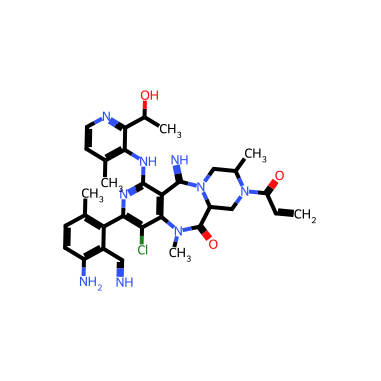 C=CC(=O)N1CC2C(=O)N(C)c3c(Cl)c(-c4c(C)ccc(N)c4C=N)nc(Nc4c(C)ccnc4C(C)O)c3C(=N)N2CC1C